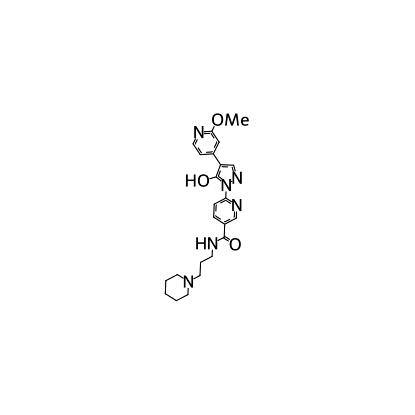 COc1cc(-c2cnn(-c3ccc(C(=O)NCCCN4CCCCC4)cn3)c2O)ccn1